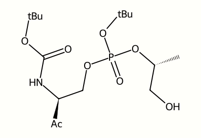 CC(=O)[C@H](COP(=O)(O[C@H](C)CO)OC(C)(C)C)NC(=O)OC(C)(C)C